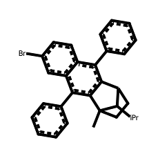 CC(C)C1C2CCC1(C)c1c2c(-c2ccccc2)c2ccc(Br)cc2c1-c1ccccc1